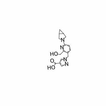 O=C(O)c1cnn(Cc2ccc(N3CC4CC4C3)nc2CO)c1